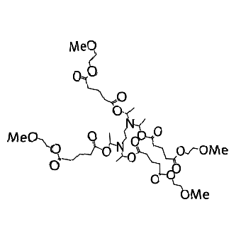 COCCOC(=O)CCCC(=O)OC(C)N(CCN(C(C)OC(=O)CCCC(=O)OCCOC)C(C)OC(=O)CCCC(=O)OCCOC)C(C)OC(=O)CCCC(=O)OCCOC